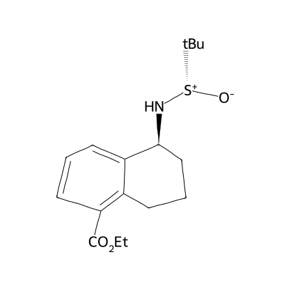 CCOC(=O)c1cccc2c1CCC[C@@H]2N[S@@+]([O-])C(C)(C)C